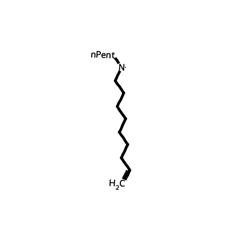 C=CCCCCCCC[N]CCCCC